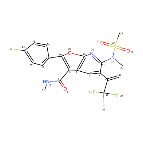 C=C(c1cc2c(C(=O)NC)c(-c3ccc(F)cc3)oc2nc1N(C)S(C)(=O)=O)C(F)(F)F